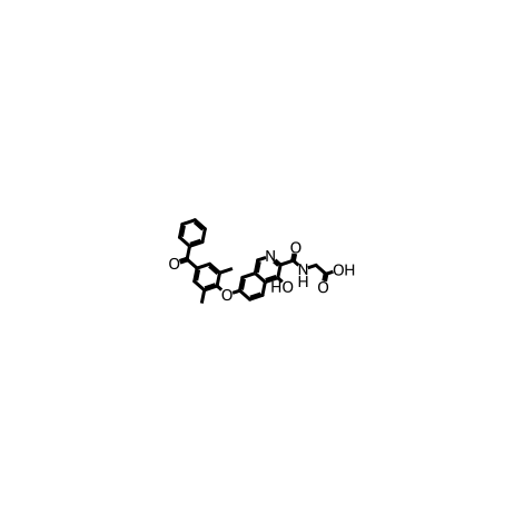 Cc1cc(C(=O)c2ccccc2)cc(C)c1Oc1ccc2c(O)c(C(=O)NCC(=O)O)ncc2c1